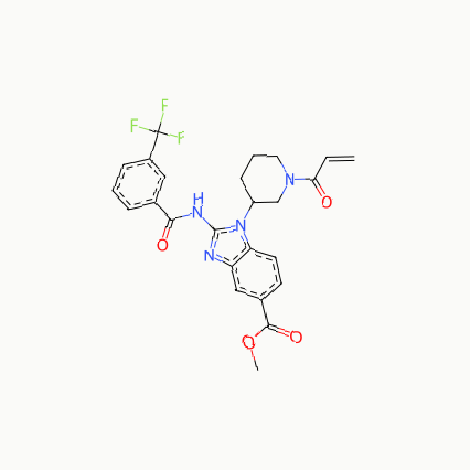 C=CC(=O)N1CCCC(n2c(NC(=O)c3cccc(C(F)(F)F)c3)nc3cc(C(=O)OC)ccc32)C1